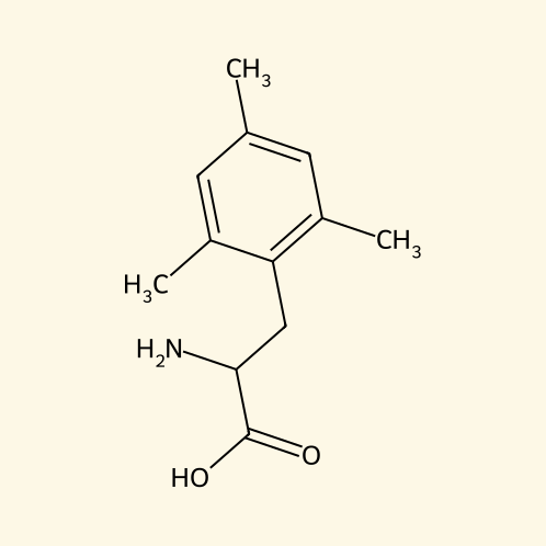 Cc1cc(C)c(CC(N)C(=O)O)c(C)c1